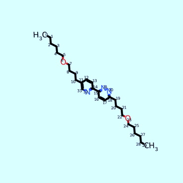 CCCCCCOCCCCc1ccc(-c2ccc(CCCCOCCCCCC)nn2)nc1